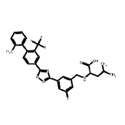 Cc1ccccc1-c1ccc(-c2nc(-c3cc(F)cc(CNC(CC(C)C)C(=O)O)c3)no2)cc1C(F)(F)F